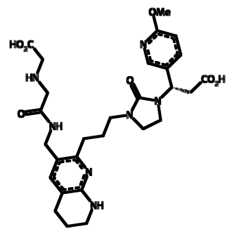 COc1ccc([C@H](CC(=O)O)N2CCN(CCCc3nc4c(cc3CNC(=O)CNCC(=O)O)CCCN4)C2=O)cn1